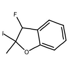 CC1(I)Oc2ccccc2C1F